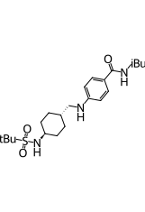 CCC(C)NC(=O)c1ccc(NC[C@H]2CC[C@H](NS(=O)(=O)C(C)(C)C)CC2)cc1